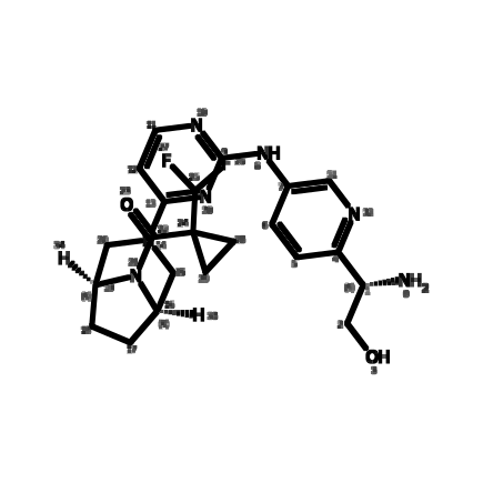 N[C@H](CO)c1ccc(Nc2nccc(N3C[C@H]4CC[C@@H](C3)N4C(=O)C3(C(F)F)CC3)n2)cn1